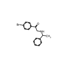 CC(NCC(=O)c1ccc(Br)cc1)c1ccccc1